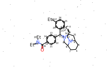 C=CCN1C2CCCC1CN(C(c1ccc(C(=O)N(CC)CC)cc1)c1cccc(CC)c1)CC2